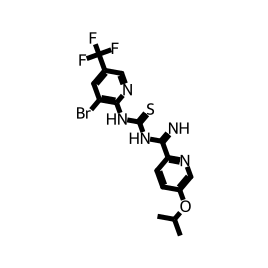 CC(C)Oc1ccc(C(=N)NC(=S)Nc2ncc(C(F)(F)F)cc2Br)nc1